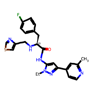 CCn1nc(-c2ccnc(C)c2)cc1NC(=O)[C@H](Cc1ccc(F)cc1)NCc1cscn1